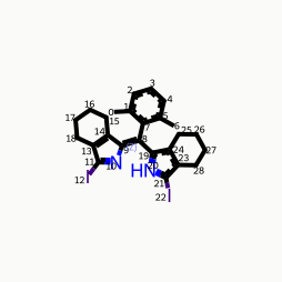 Cc1cccc(C)c1/C(=C1/N=C(I)C2=C1CCCC2)c1[nH]c(I)c2c1CCCC2